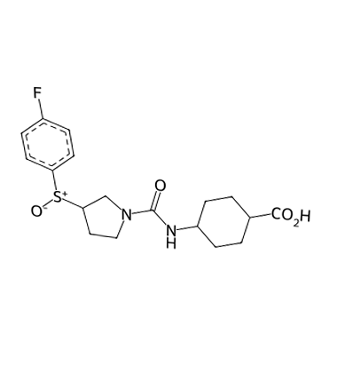 O=C(O)C1CCC(NC(=O)N2CCC([S+]([O-])c3ccc(F)cc3)C2)CC1